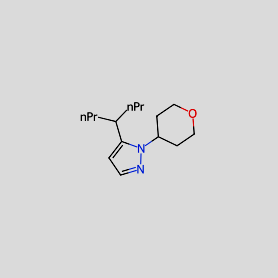 CCCC(CCC)c1ccnn1C1CCOCC1